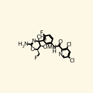 CO[C@H]1[C@@H](CF)OC(N)=N[C@]1(C)c1cc(NC(=O)c2ncc(Cl)cc2Cl)ccc1F